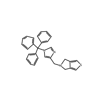 c1ccc(C(c2ccccc2)(c2ccccc2)n2cnc(CN3Cc4cscc4C3)c2)cc1